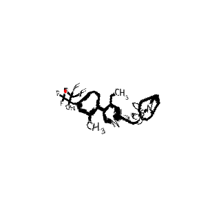 CCc1cc(CN2CCC3CC(C2)N3S(C)(=O)=O)ncc1-c1ccc(C(O)(C(F)(F)F)C(F)(F)F)cc1C